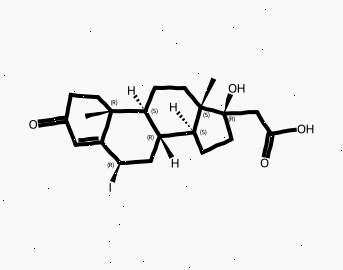 C[C@]12CCC(=O)C=C1[C@H](I)C[C@@H]1[C@@H]2CC[C@@]2(C)[C@H]1CC[C@@]2(O)CC(=O)O